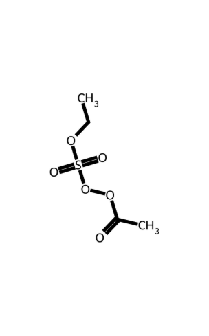 CCOS(=O)(=O)OOC(C)=O